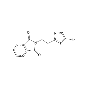 O=C1c2ccccc2C(=O)N1CCc1ncc(Br)s1